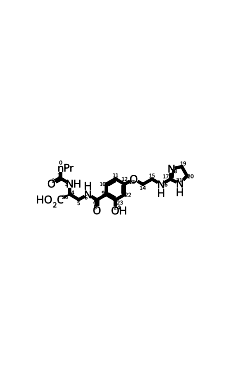 CCCC(=O)N[C@@H](CNC(=O)c1ccc(OCCNC2=NCCN2)cc1O)C(=O)O